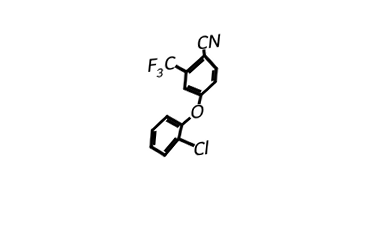 N#Cc1ccc(Oc2ccccc2Cl)cc1C(F)(F)F